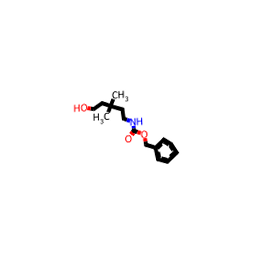 CC(C)(CCO)CCNC(=O)OCc1ccccc1